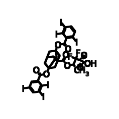 CC(OC(=O)C12CC3CC(OC(=O)c4cc(I)cc(I)c4I)(CC(OC(=O)c4c(I)ccc(I)c4I)(C3)C1)C2)C(F)(F)S(=O)(=O)O